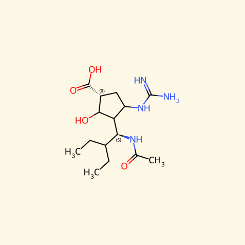 CCC(CC)[C@H](NC(C)=O)C1C(NC(=N)N)C[C@@H](C(=O)O)C1O